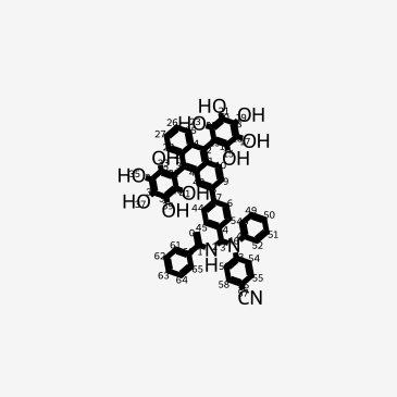 C=C(NC(c1ccc(-c2ccc3c(-c4c(O)c(O)c(O)c(O)c4O)c4ccccc4c(-c4c(O)c(O)c(O)c(O)c4O)c3c2)cc1)N(c1ccccc1)c1ccc(C#N)cc1)c1ccccc1